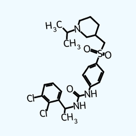 CC(NC(=O)Nc1ccc(S(=O)(=O)CC2CCCN(C(C)C)C2)cc1)c1cccc(Cl)c1Cl